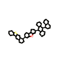 c1cc(-c2ccc3c(c2)oc2cc(-c4c5ccccc5c(-c5cccc6ccccc56)c5ccccc45)ccc23)c2cc3sc4ccccc4c3cc2c1